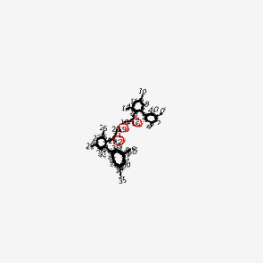 Cc1cc(C)cc(-c2cc(C)cc(C)c2C2OC2COCC2OC2c2c(C)cc(C)cc2-c2cc(C)cc(C)c2)c1